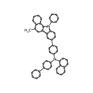 Cc1cc2c3cc(-c4ccc(N(c5ccc(-c6ccccc6)cc5)c5cccc6ccccc56)cc4)ccc3n(-c3ccccc3)c2c2ccccc12